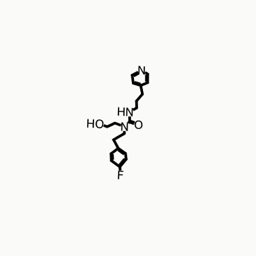 O=C(NCCCc1ccncc1)N(CCO)CCc1ccc(F)cc1